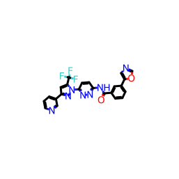 O=C(Nc1ccc(-n2nc(-c3cccnc3)cc2C(F)(F)F)nn1)c1cccc(-c2cnco2)c1